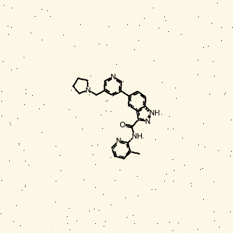 Cc1cccnc1NC(=O)c1n[nH]c2ccc(-c3cncc(CN4CCCC4)c3)cc12